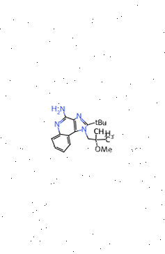 COC(C)(C)Cn1c(C(C)(C)C)nc2c(N)nc3ccccc3c21